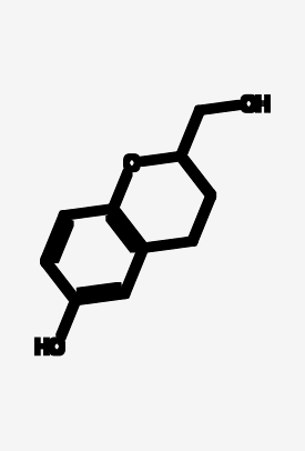 OCC1CCc2cc(O)ccc2O1